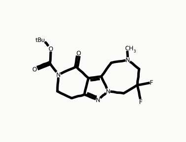 CN1Cc2c3c(nn2CC(F)(F)C1)CCN(C(=O)OC(C)(C)C)C3=O